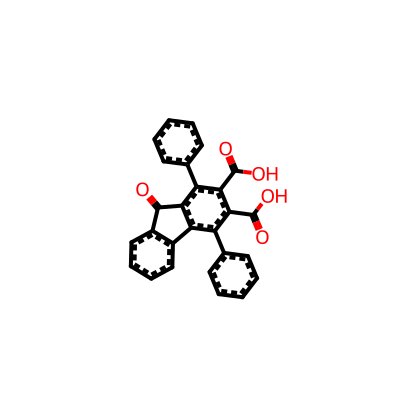 O=C(O)c1c(C(=O)O)c(-c2ccccc2)c2c(c1-c1ccccc1)C(=O)c1ccccc1-2